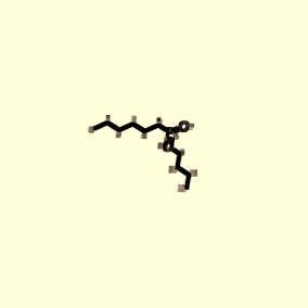 CCCCCC[PH](=O)OCCCC